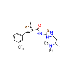 CCN(CC)C(C)Cc1nsc(NC(=O)c2cc(-c3cccc(C(F)(F)F)c3)sc2C)n1